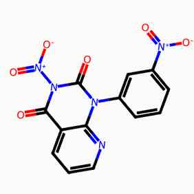 O=c1c2cccnc2n(-c2cccc([N+](=O)[O-])c2)c(=O)n1[N+](=O)[O-]